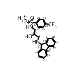 CN=S(=O)(NCC(O)CNC1c2ccccc2-c2ccccc21)c1ccc(C(F)(F)F)cc1